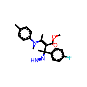 COC(=O)/C(=C(\C)N(C)c1ccc(C)cc1)C(C)(N=N)c1ccc(F)cc1